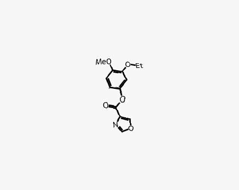 CCOc1cc(OC(=O)c2cocn2)ccc1OC